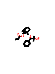 C=CC(=O)OC1CC2CCC1(C)C2(C)C.CC(C)(O)C(=O)c1ccccc1